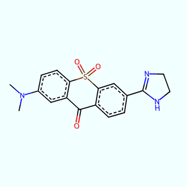 CN(C)c1ccc2c(c1)C(=O)c1ccc(C3=NCCN3)cc1S2(=O)=O